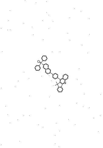 CC1(C)c2ccccc2-c2nc3ccccc3c(-c3ccc(-c4ccc5cc(P(=O)(c6ccccc6)c6ccccc6)ccc5c4)cc3)c21